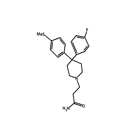 CSc1ccc(C2(c3ccc(F)cc3)CCN(CCC(N)=O)CC2)cc1